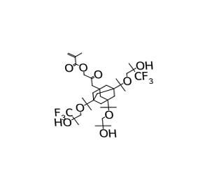 C=C(C)C(=O)OCC(=O)CC12CC3(C(C)(C)OCC(C)(C)O)CC(C(C)(C)OCC(C)(O)C(F)(F)F)(C1)CC(C(C)(C)OCC(C)(O)C(F)(F)F)(C2)C3